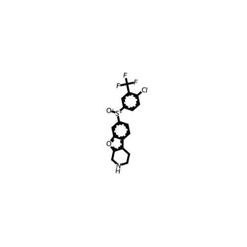 [O-][S+](c1ccc(Cl)c(C(F)(F)F)c1)c1ccc2c3c(oc2c1)CNCC3